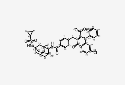 COC(=O)c1c(Cc2ccc(C(=O)NC3[C@@H]4CC5C[C@H]3CC(NS(=O)(=O)C3CC3)(C5)C4)cc2)c(=O)c2ccc(Cl)cc2n1-c1ccccc1